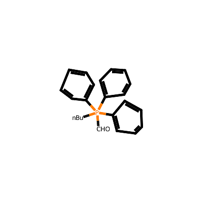 CCCCP(C=O)(c1ccccc1)(c1ccccc1)c1ccccc1